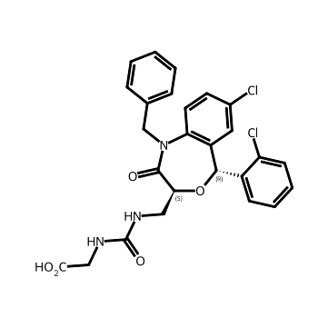 O=C(O)CNC(=O)NC[C@@H]1O[C@@H](c2ccccc2Cl)c2cc(Cl)ccc2N(Cc2ccccc2)C1=O